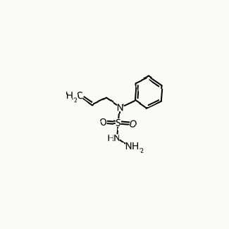 C=CCN(c1ccccc1)S(=O)(=O)NN